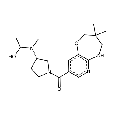 CC(O)N(C)[C@H]1CCN(C(=O)c2cnc3c(c2)OCC(C)(C)CN3)C1